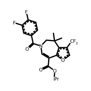 CC(C)OC(=O)C1=CN(C(=O)c2ccc(F)c(F)c2)CC(C)(C)c2c(C(F)(F)F)coc21